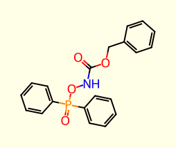 O=C(NOP(=O)(c1ccccc1)c1ccccc1)OCc1ccccc1